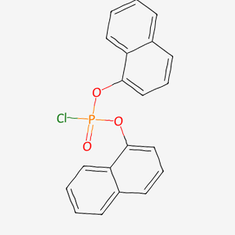 O=P(Cl)(Oc1cccc2ccccc12)Oc1cccc2ccccc12